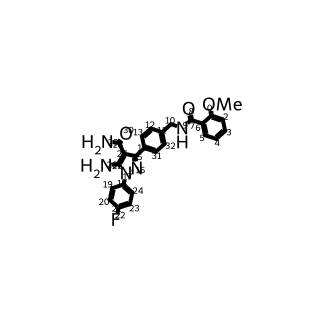 COc1ccccc1C(=O)NCc1ccc(-c2nn(-c3ccc(F)cc3)c(N)c2C(N)=O)cc1